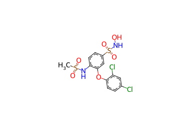 CS(=O)(=O)Nc1ccc(S(=O)(=O)NO)cc1Oc1ccc(Cl)cc1Cl